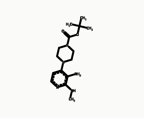 CNc1nccc(N2CCN(C(=O)OC(C)(C)C)CC2)c1N